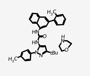 C1COCCN1.Cc1ccc(-n2nc(C(C)(C)C)cc2NC(=O)Nc2cc(-c3ccccc3C)cc3ccccc23)cc1